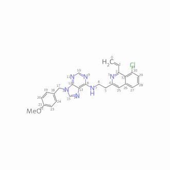 C=Cc1nc(CCNc2ncnc3c2ncn3Cc2ccc(OC)cc2)cc2cccc(Cl)c12